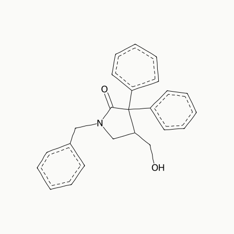 O=C1N(Cc2ccccc2)CC(CO)C1(c1ccccc1)c1ccccc1